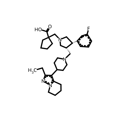 CCc1nn2c(c1C1CCN(C[C@@H]3CN(CC4(C(=O)O)CCCC4)C[C@@H]3c3cccc(F)c3)CC1)CCCC2